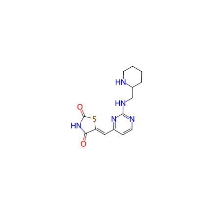 O=C1NC(=O)C(=Cc2ccnc(NCC3CCCCN3)n2)S1